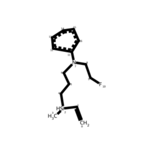 C=C[SiH](C)CCCN(CCF)c1ccccc1